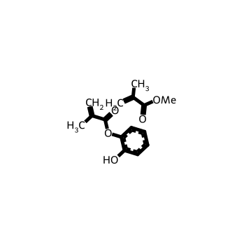 C=C(C)C(=O)OC.C=C(C)C(=O)Oc1ccccc1O